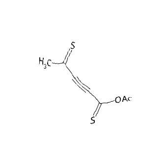 CC(=O)OC(=S)C#CC(C)=S